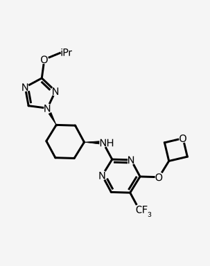 CC(C)Oc1ncn([C@@H]2CCC[C@H](Nc3ncc(C(F)(F)F)c(OC4COC4)n3)C2)n1